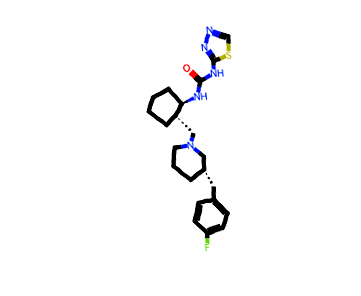 O=C(Nc1nncs1)N[C@@H]1CCCC[C@H]1CN1CCC[C@@H](Cc2ccc(F)cc2)C1